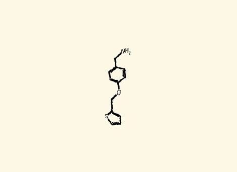 NCc1ccc(OCc2cccs2)cc1